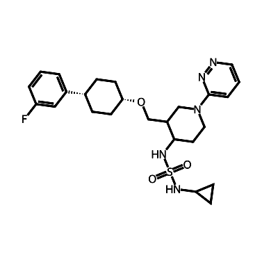 O=S(=O)(NC1CC1)NC1CCN(c2cccnn2)CC1CO[C@H]1CC[C@@H](c2cccc(F)c2)CC1